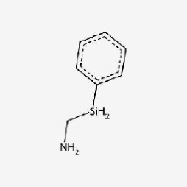 NC[SiH2]c1ccccc1